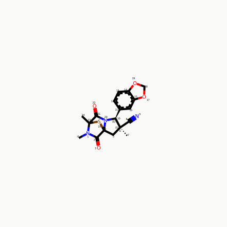 CN1C(=O)C23C[C@](C)(C#N)[C@H](c4ccc5c(c4)OCO5)N2C(=O)C1(C)S3